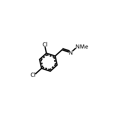 CNN=Cc1ccc(Cl)cc1Cl